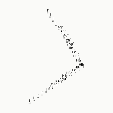 Br.Br.Br.Br.Br.Br.Br.Br.Br.[Ag+].[Ag+].[Ag+].[Ag+].[Ag+].[Ag+].[Ag+].[Ag+].[Ag+].[I-].[I-].[I-].[I-].[I-].[I-].[I-].[I-].[I-]